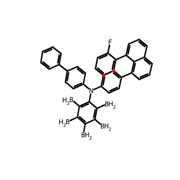 Bc1c(B)c(B)c(N(c2ccc(-c3ccccc3)cc2)c2ccc(-c3cccc4cccc(-c5ccccc5F)c34)cc2)c(B)c1B